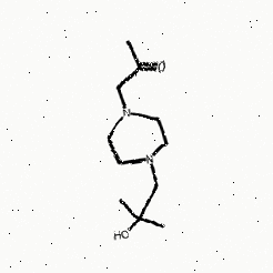 CC(=O)CN1CCN(CC(C)(C)O)CC1